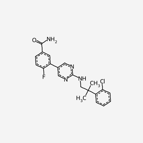 CC(C)(CNc1ncc(-c2cc(C(N)=O)ccc2F)cn1)c1ccccc1Cl